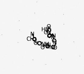 N#Cc1ccc(OC2CCC(NC(=O)c3ccc(N4CCOC(CN5CCC(n6ncc7c(N8CCC(=O)NC8=O)cccc76)CC5)C4)nn3)CC2)cc1Cl